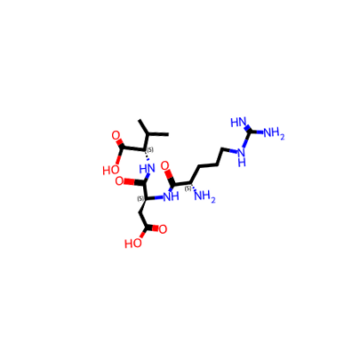 CC(C)[C@H](NC(=O)[C@H](CC(=O)O)NC(=O)[C@@H](N)CCCNC(=N)N)C(=O)O